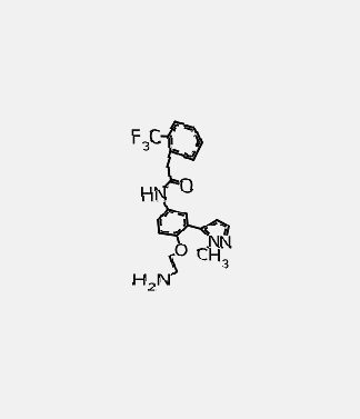 Cn1nccc1-c1cc(NC(=O)Cc2ccccc2C(F)(F)F)ccc1OCCN